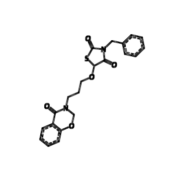 O=C1c2ccccc2OCN1CCCOC1SC(=O)N(Cc2ccccc2)C1=O